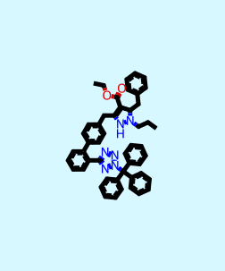 CCCN1NC(Cc2ccc(-c3ccccc3-c3nnn(C(c4ccccc4)(c4ccccc4)c4ccccc4)n3)cc2)=C(C(=O)OCC)C1Cc1ccccc1